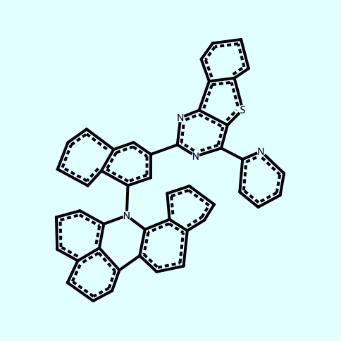 c1ccc(-c2nc(-c3cc(N4c5c(ccc6ccccc56)-c5cccc6cccc4c56)c4ccccc4c3)nc3c2sc2ccccc23)nc1